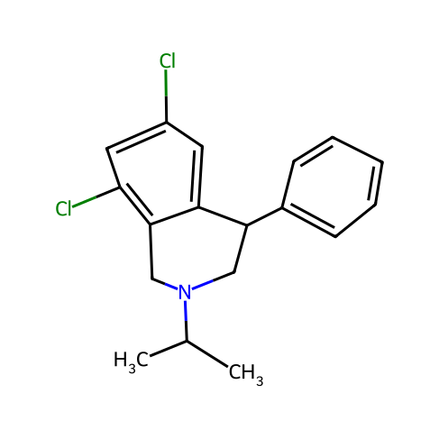 CC(C)N1Cc2c(Cl)cc(Cl)cc2C(c2ccccc2)C1